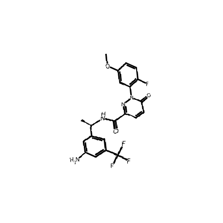 COc1ccc(F)c(-n2nc(C(=O)N[C@H](C)c3cc(N)cc(C(F)(F)F)c3)ccc2=O)c1